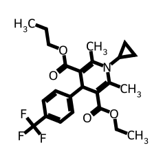 CCCOC(=O)C1=C(C)N(C2CC2)C(C)=C(C(=O)OCC)C1c1ccc(C(F)(F)F)cc1